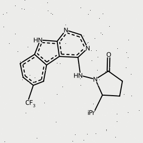 CC(C)C1CCC(=O)N1Nc1ncnc2[nH]c3ccc(C(F)(F)F)cc3c12